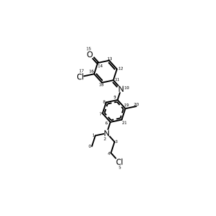 CCN(CCCl)c1ccc(N=C2C=CC(=O)C(Cl)=C2)c(C)c1